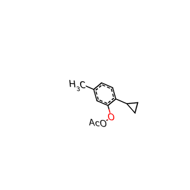 CC(=O)OOc1cc(C)ccc1C1CC1